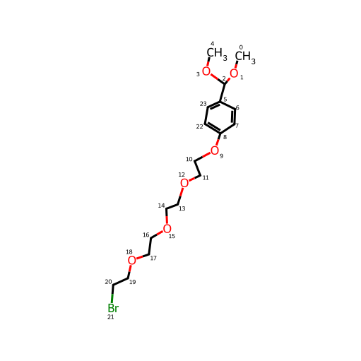 COC(OC)c1ccc(OCCOCCOCCOCCBr)cc1